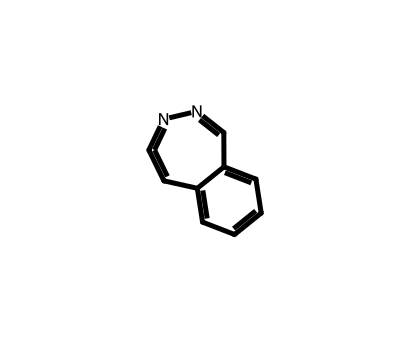 C1=Cc2ccccc2C=NN=1